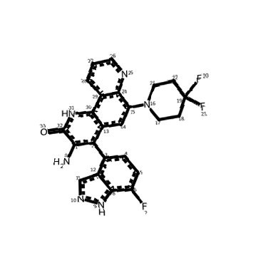 Nc1c(-c2ccc(F)c3[nH]ncc23)c2cc(N3CCC(F)(F)CC3)c3ncccc3c2[nH]c1=O